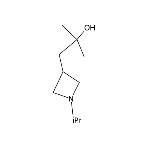 CC(C)N1CC(CC(C)(C)O)C1